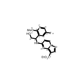 CCOC(=O)c1cnn2ccc(NC(CO)c3cc(F)cnc3OC)nc12